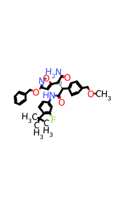 COCc1ccc(C(C(=O)Nc2ccc(C(C)(C)C)c(F)c2)[C@@H](C(N)=O)c2cc(OCc3ccccc3)no2)cc1